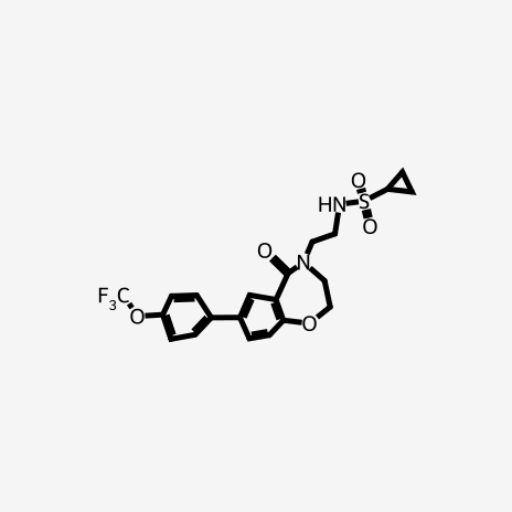 O=C1c2cc(-c3ccc(OC(F)(F)F)cc3)ccc2OCCN1CCNS(=O)(=O)C1CC1